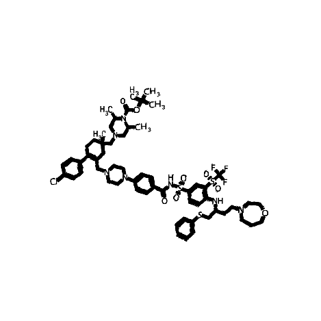 CC1CN(CC2(C)CCC(c3ccc(Cl)cc3)=C(CN3CCN(c4ccc(C(=O)NS(=O)(=O)c5ccc(NC(CCN6CCCOCC6)CSc6ccccc6)c(S(=O)(=O)C(F)(F)F)c5)cc4)CC3)C2)CC(C)N1C(=O)OC(C)(C)C